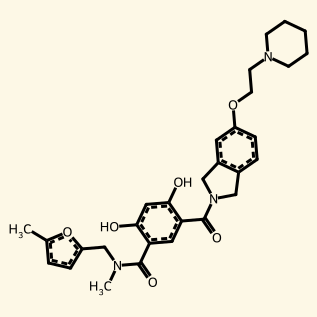 Cc1ccc(CN(C)C(=O)c2cc(C(=O)N3Cc4ccc(OCCN5CCCCC5)cc4C3)c(O)cc2O)o1